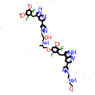 COCCNCCn1cc(-c2cnc3[nH]cc(Cc4c(F)c(OC)cc(OCCC(C)NCC(O)Cn5cc(-c6cnc7[nH]cc(Cc8c(F)c(OC)cc(OC)c8F)c7c6)cn5)c4F)c3c2)cn1